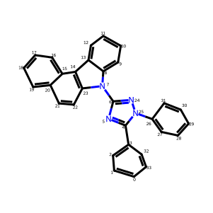 c1ccc(-c2nc(-n3c4ccccc4c4c5ccccc5ccc43)nn2-c2ccccc2)cc1